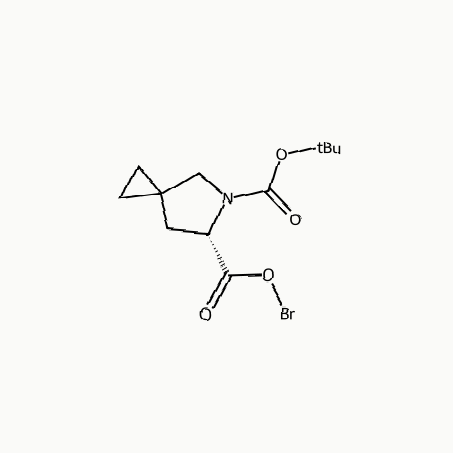 CC(C)(C)OC(=O)N1CC2(CC2)C[C@H]1C(=O)OBr